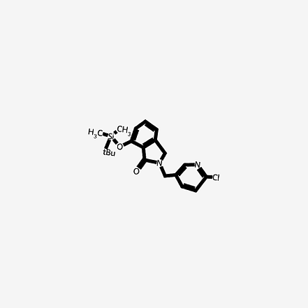 CC(C)(C)[Si](C)(C)Oc1cccc2c1C(=O)N(Cc1ccc(Cl)nc1)C2